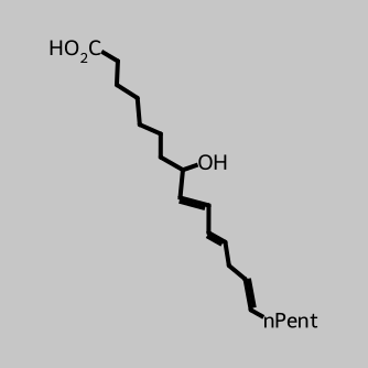 CCCCC/C=C/C/C=C/C=C/C(O)CCCCCCC(=O)O